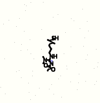 CN(C)/C(=N\S(C)(=O)=O)NCCCS(C)(C)S